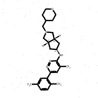 Cc1ccc(C(F)(F)F)cc1-c1cc(C(F)(F)F)c(N[C@H]2C[C@@H]3CN(CC4CCOCC4)C[C@@H]3C2)nn1